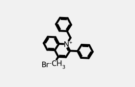 Cc1cc(-c2ccccc2)[n+](Cc2ccccc2)c2ccccc12.[Br-]